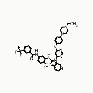 CCN1CCN(c2ccc(Nc3cc(-n4c(Nc5cc(NC(=O)c6cccc(C(F)(F)F)c6)ccc5C)nc5ccncc54)ncn3)cc2)CC1